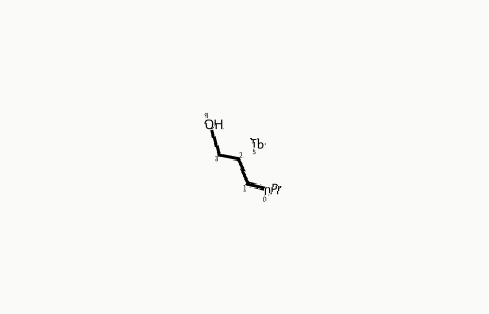 CCCCCCO.[Tb]